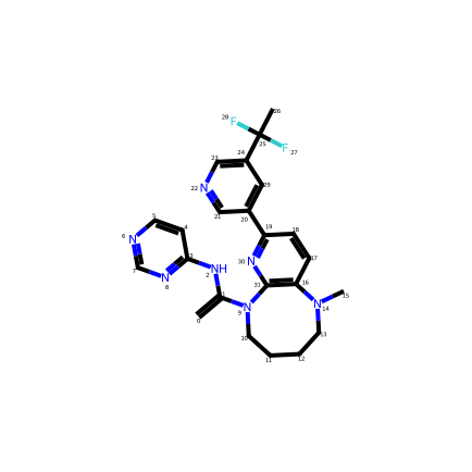 C=C(Nc1ccncn1)N1CCCCN(C)c2ccc(-c3cncc(C(C)(F)F)c3)nc21